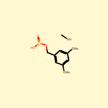 CCCC.COc1cc(CO[PH](=O)O)cc(OC)c1